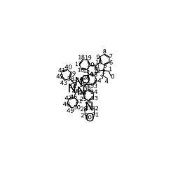 CCC1(CC)c2ccccc2-c2c1c1c(c3ccccc23)OC(c2ccc(N3CCOCC3)cc2)(c2nc(-c3ccccc3)nc(-c3ccccc3)n2)C=C1